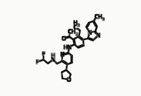 CCc1c(-c2cnc3cc(C)ccn23)ccc(Nc2ccc(C3CCOC3)c(CNCC(F)F)n2)c1C(C)=O